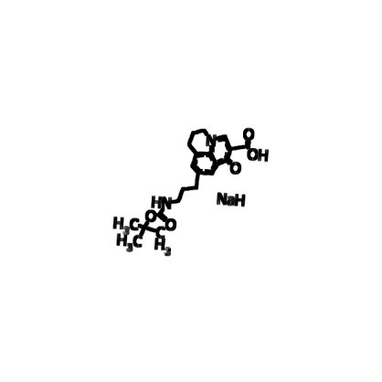 CC(C)(C)OC(=O)NCCCc1cc2c3c(c1)c(=O)c(C(=O)O)cn3CCC2.[NaH]